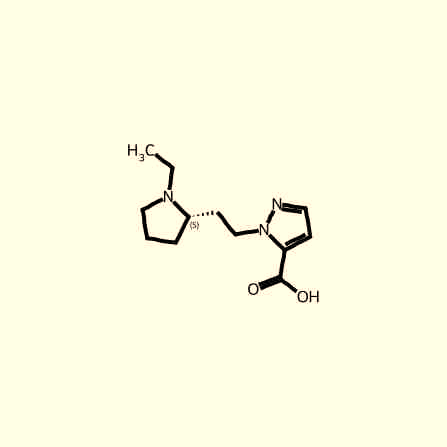 CCN1CCC[C@H]1CCn1nccc1C(=O)O